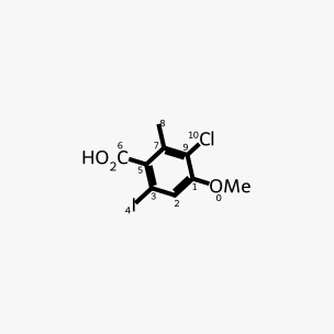 COc1cc(I)c(C(=O)O)c(C)c1Cl